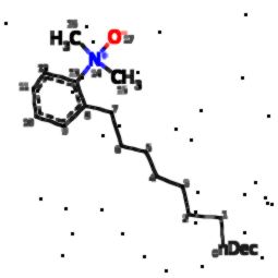 CCCCCCCCCCCCCCCCCc1ccccc1[N+](C)(C)[O-]